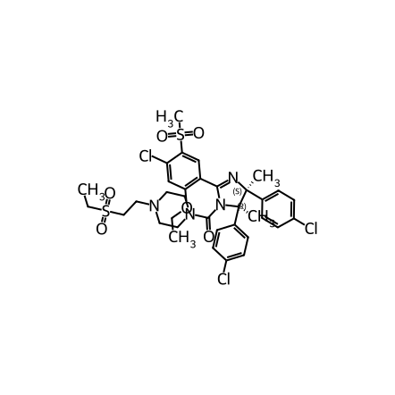 CCOc1cc(Cl)c(S(C)(=O)=O)cc1C1=N[C@@](C)(c2ccc(Cl)cc2)[C@@](C)(c2ccc(Cl)cc2)N1C(=O)N1CCN(CCS(=O)(=O)CC)CC1